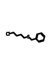 ClCCCCSCc1ccccc1